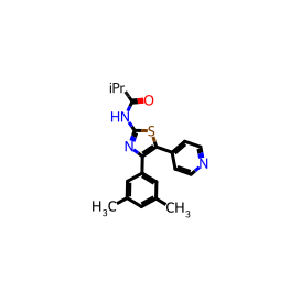 Cc1cc(C)cc(-c2nc(NC(=O)C(C)C)sc2-c2ccncc2)c1